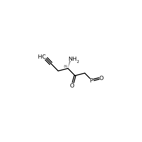 C#CC[C@H](N)C(=O)CP=O